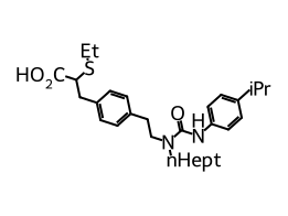 CCCCCCCN(CCc1ccc(CC(SCC)C(=O)O)cc1)C(=O)Nc1ccc(C(C)C)cc1